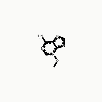 COn1cnc(N)c2ncnc1-2